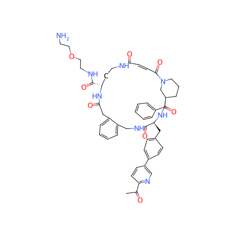 CC(=O)c1ccc(-c2ccc(C[C@@H]3NC(=O)[C@]4(Cc5ccccc5)CCCN(C4)C(=O)/C=C/C(=O)NCC[C@@H](C(=O)NCCOCCN)NC(=O)Cc4ccccc4CNC3=O)cc2)cn1